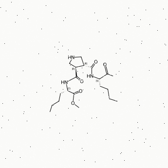 CCCC[C@H](NC(=O)[C@H]1CNC[C@@H]1C(=O)N[C@@H](CCCC)C(=O)OC)C(C)=O